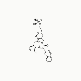 CC(=O)N(NCc1cccc(F)c1Cl)C(CCCCOP(=O)(O)O)COC(=O)Nc1cc2ccccc2cn1